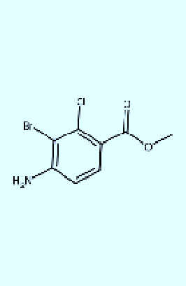 COC(=O)c1ccc(N)c(Br)c1Cl